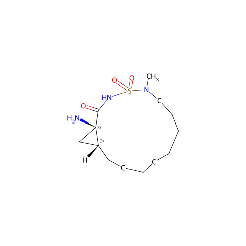 CN1CCCCCCCC[C@@H]2C[C@]2(N)C(=O)NS1(=O)=O